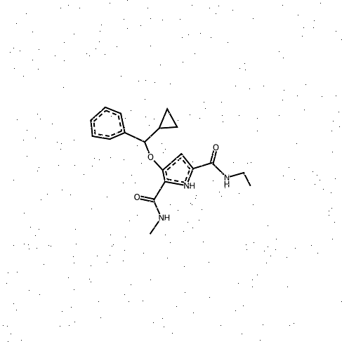 CCNC(=O)c1cc(OC(c2ccccc2)C2CC2)c(C(=O)NC)[nH]1